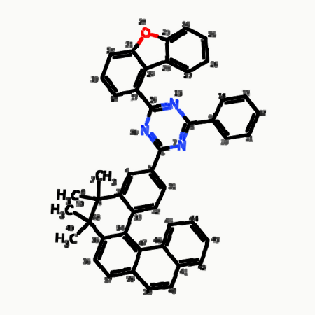 CC1(C)c2cc(-c3nc(-c4ccccc4)nc(-c4cccc5oc6ccccc6c45)n3)ccc2-c2c(ccc3ccc4ccccc4c23)C1(C)C